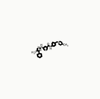 Cc1cnc(Nc2cncc(C(=O)Nc3ccc(CN4CCC(C)CC4)cc3)c2)nc1-c1ccccc1